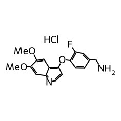 COc1cc2nccc(Oc3ccc(CN)cc3F)c2cc1OC.Cl